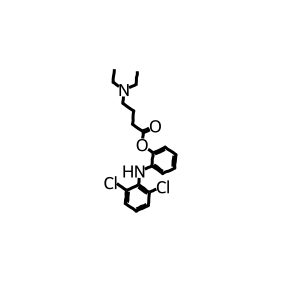 CCN(CC)CCCC(=O)Oc1ccccc1Nc1c(Cl)cccc1Cl